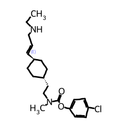 CCNC/C=C/[C@H]1CC[C@H](CCN(C)C(=O)Oc2ccc(Cl)cc2)CC1